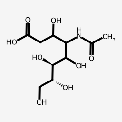 CC(=O)NC(C(O)CC(=O)O)C(O)[C@H](O)[C@H](O)CO